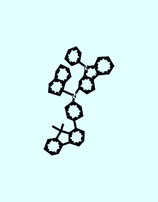 CC1(C)c2ccccc2-c2cccc(-c3ccc(N(c4ccc5c6ccccc6n(-c6ccccc6)c5c4)c4cccc5ccccc45)cc3)c21